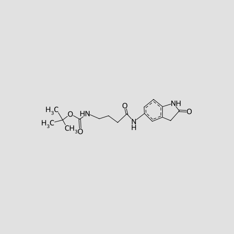 CC(C)(C)OC(=O)NCCCC(=O)Nc1ccc2c(c1)CC(=O)N2